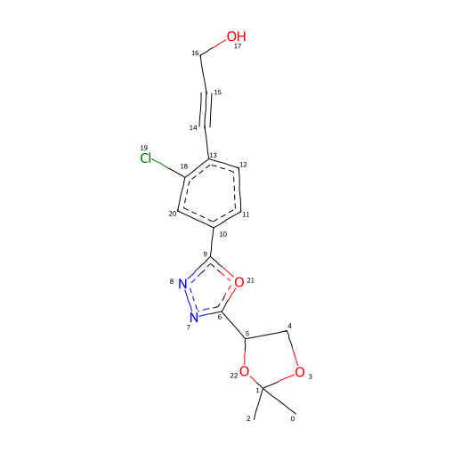 CC1(C)OCC(c2nnc(-c3ccc(C#CCO)c(Cl)c3)o2)O1